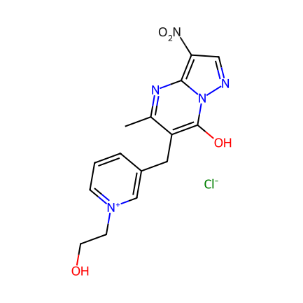 Cc1nc2c([N+](=O)[O-])cnn2c(O)c1Cc1ccc[n+](CCO)c1.[Cl-]